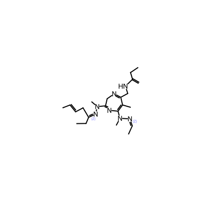 C=C(CC)NCC1=NCC(N(C)/N=C(/CC)CC=CC)=NC(N(C)/N=C\C)=C1C